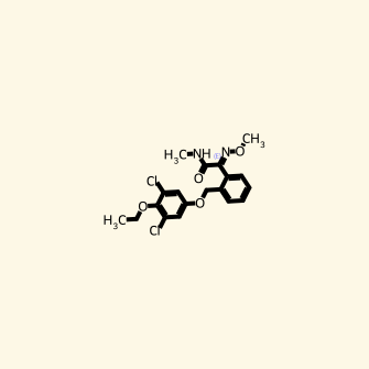 CCOc1c(Cl)cc(OCc2ccccc2/C(=N\OC)C(=O)NC)cc1Cl